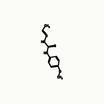 CC=NNC(=S)Nc1ccc(OC)cc1